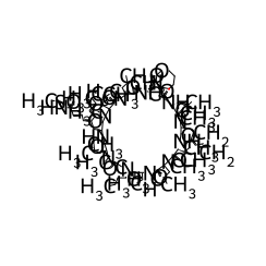 C=C/C=C\C(=C)CC1C(=O)N[C@@H](C(C)C)C(=O)N(C)C(CC(C)C)C(=O)NC(CC)C(=O)N(CCCC)CC(=O)N(C)C(CC(C)C)C(=O)NC(CC(=C/C=C/C(=O)NSC)/C=C/OC)C(=O)N(C)C(CC(C)C)C(=O)N(C)C(CC(C)C)C(=O)N[C@H](CN2CCCCCOO2)CC(=O)N[C@H](CC(C)C)C(=O)N1C